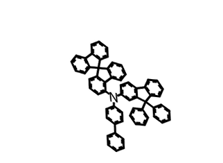 c1ccc(-c2ccc(N(c3ccc4c(c3)C(c3ccccc3)(c3ccccc3)c3ccccc3-4)c3cccc4c3-c3ccccc3C43c4ccccc4-c4ccccc43)cc2)cc1